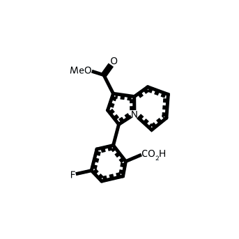 COC(=O)c1cc(-c2cc(F)ccc2C(=O)O)n2ccccc12